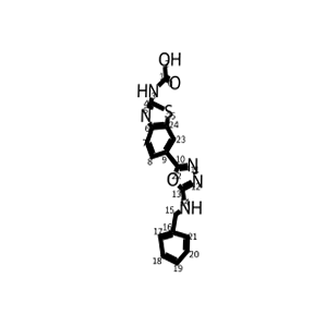 O=C(O)Nc1nc2ccc(-c3nnc(NCc4ccccc4)o3)cc2s1